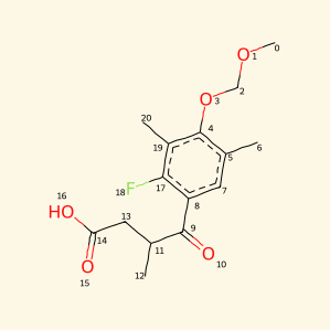 COCOc1c(C)cc(C(=O)C(C)CC(=O)O)c(F)c1C